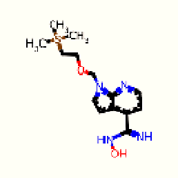 CS(C)(C)CCOCn1ccc2c(C(=N)NO)ccnc21